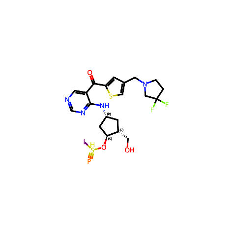 O=C(c1cc(CN2CCC(F)(F)C2)cs1)c1cncnc1N[C@@H]1C[C@H](CO)[C@@H](O[SH](#P)I)C1